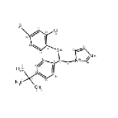 CC(C)(C)c1ccc(C(Cn2ccnc2)Sc2ccc(Cl)cc2Cl)cc1